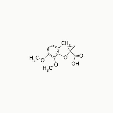 COc1ccc(C)c(OC2(C(=O)O)CC2)c1OC